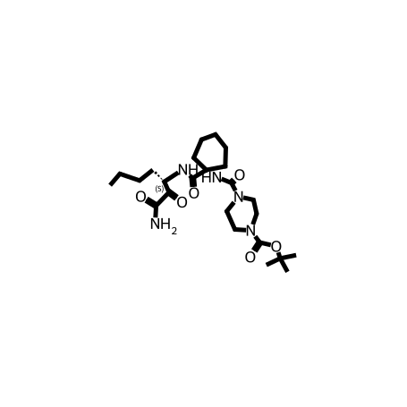 CCCC[C@H](NC(=O)C1(NC(=O)N2CCN(C(=O)OC(C)(C)C)CC2)CCCCC1)C(=O)C(N)=O